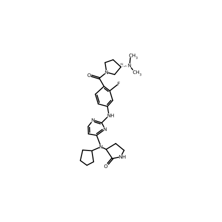 CN(C)[C@H]1CCN(C(=O)c2ccc(Nc3nccc(N(C4CCCC4)C4CCNC4=O)n3)cc2F)C1